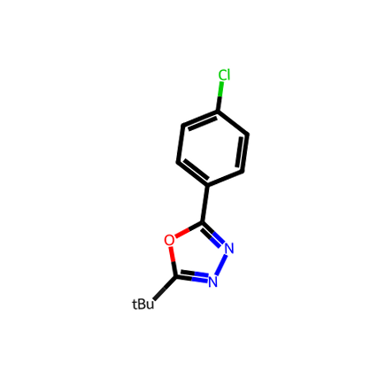 CC(C)(C)c1nnc(-c2ccc(Cl)cc2)o1